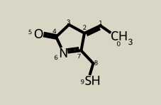 CC=C1CC(=O)N=C1CS